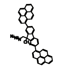 CC1(CN=[N+]=[N-])c2cc(-c3ccc4ccc5cccc6ccc3c4c56)ccc2-c2ccc(-c3ccc4ccc5cccc6ccc3c4c56)cc21